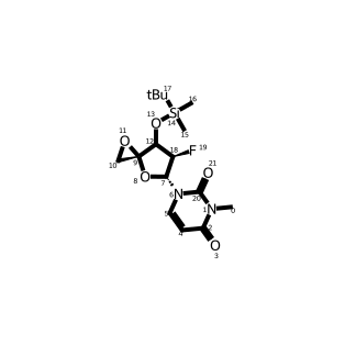 Cn1c(=O)ccn([C@@H]2O[C@@]3(CO3)C(O[Si](C)(C)C(C)(C)C)[C@H]2F)c1=O